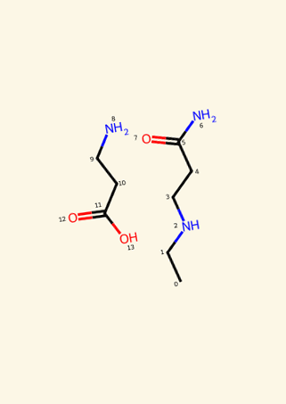 CCNCCC(N)=O.NCCC(=O)O